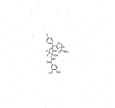 COc1cc(C(=O)NCC(O)(c2cc3c(c(-c4ccc(F)cc4)n2)OC[C@]3(C)C(N)=O)C(F)(F)F)ccc1O